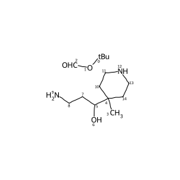 CC(C)(C)OC=O.CC1(C(O)CCN)CCNCC1